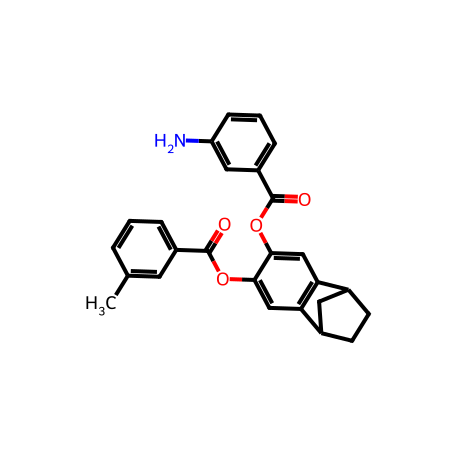 Cc1cccc(C(=O)Oc2cc3c(cc2OC(=O)c2cccc(N)c2)C2CCC3C2)c1